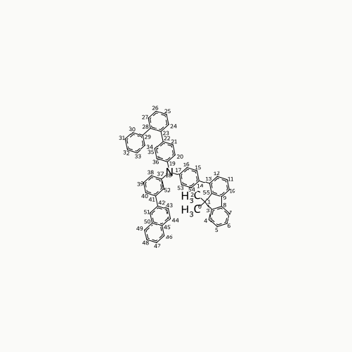 CC1(C)c2ccccc2-c2cccc(-c3ccc(N(c4ccc(-c5ccccc5-c5ccccc5)cc4)c4cccc(-c5ccc6ccccc6c5)c4)cc3)c21